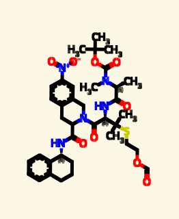 C[C@@H](C(=O)N[C@H](C(=O)N1Cc2cc([N+](=O)[O-])ccc2CC1C(=O)N[C@@H]1CCCc2ccccc21)C(C)(C)SCCOC=O)N(C)C(=O)OC(C)(C)C